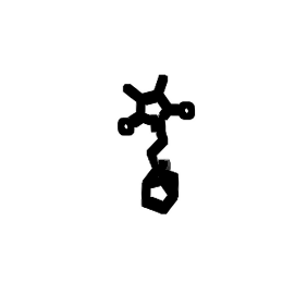 CC1=C(C)C(=O)N(CC[C@H]2CC3C=CC2C3)C1=O